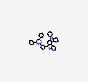 c1ccc(-c2cc(-c3ccccc3)nc(-c3cccc(-c4nc5ccccc5c5c4ccc4c5c5ccccc5n4-c4ccccc4)c3)n2)cc1